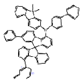 C=C/C=C(\C=C/C)c1cccc2c1-c1ccccc1C21c2cc(-c3ccccc3)ccc2-c2c(N(c3ccc(-c4ccccc4)cc3)c3ccc4c(c3)C(C)(C)c3ccccc3-4)cccc21